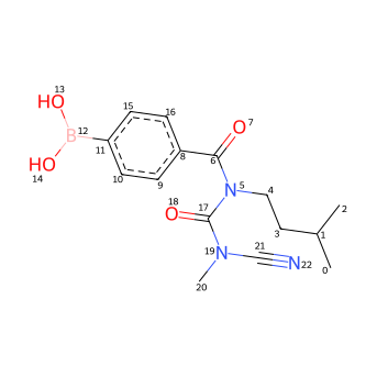 CC(C)CCN(C(=O)c1ccc(B(O)O)cc1)C(=O)N(C)C#N